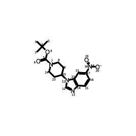 CC(C)(C)OC(=O)N1CCC(n2cnc3ccc([N+](=O)[O-])cc32)CC1